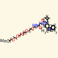 COCCOCCOCCOCCOCCOCCNC(=O)CN1C[C@]2(CC[C@](c3ccccc3)(N(C)C)CC2)N(CC2CCC2)C1=O